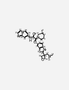 C[C@H]1CC[C@H](c2ccc3sc(C4(CN(C)C)COC4)nc3c2)N(C(=O)C(=O)Nc2ccn3ccnc3c2)C1